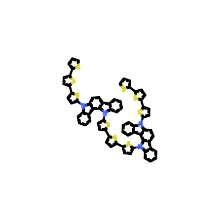 c1csc(-c2ccc(-c3ccc(-n4c5ccccc5c5c4ccc4c6ccccc6n(-c6ccc(-c7ccc(-c8ccc(-n9c%10ccccc%10c%10ccc%11c(c%12ccccc%12n%11-c%11ccc(-c%12ccc(-c%13cccs%13)s%12)s%11)c%109)s8)s7)s6)c45)s3)s2)c1